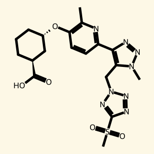 Cc1nc(-c2nnn(C)c2Cn2nnc(S(C)(=O)=O)n2)ccc1O[C@H]1CCC[C@H](C(=O)O)C1